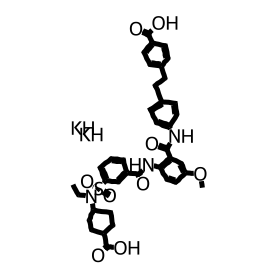 CCN(C1CCC(C(=O)O)CC1)S(=O)(=O)c1cccc(C(=O)Nc2ccc(OC)cc2C(=O)Nc2ccc(CCc3ccc(C(=O)O)cc3)cc2)c1.[KH].[KH]